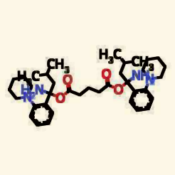 CC(C)CC(N)(OC(=O)CCCC(=O)OC(N)(CC(C)C)c1ccccc1N1CCCCC1)c1ccccc1N1CCCCC1